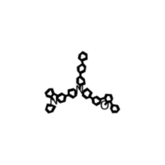 c1ccc(-c2ccc(-c3ccc(N(c4ccc(-c5ccc6oc7c(-c8ccccc8)cccc7c6c5)cc4)c4ccc(-c5ccc6c(c5)c5ccccc5n6-c5ccccc5)cc4)cc3)cc2)cc1